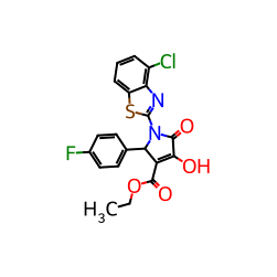 CCOC(=O)C1=C(O)C(=O)N(c2nc3c(Cl)cccc3s2)C1c1ccc(F)cc1